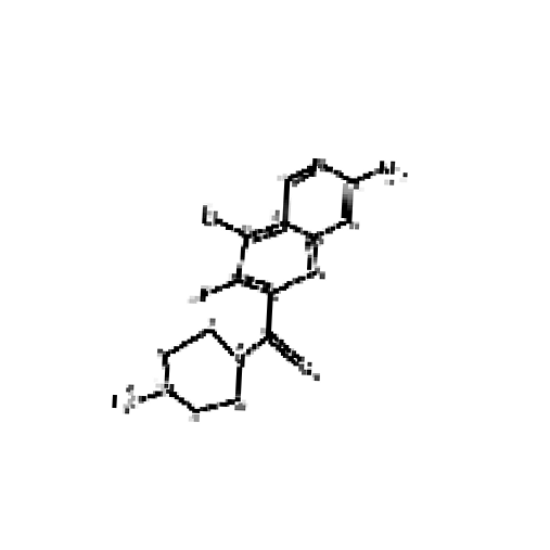 CN1CCN(C(=O)c2cc3cc(N)ncc3c(Cl)c2F)CC1